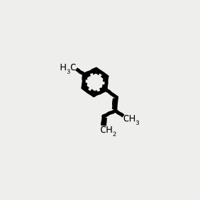 C=CC(C)=Cc1ccc(C)cc1